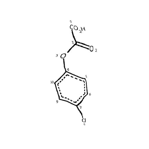 O=C(O)C(=O)Oc1ccc(Cl)cc1